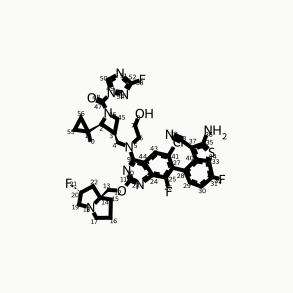 CC1([C@@H]2[C@H](CN(CCO)c3nc(OC[C@@]45CCCN4C[C@H](F)C5)nc4c(F)c(-c5ccc(F)c6sc(N)c(C#N)c56)c(Cl)cc34)CN2C(=O)n2cnc(F)n2)CC1